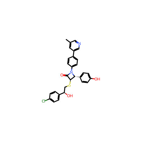 Cc1cncc(-c2ccc(N3C(=O)[C@H](SC[C@@H](O)c4ccc(Cl)cc4)[C@H]3c3ccc(O)cc3)cc2)c1